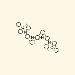 Cc1cccc(N(c2ccc3c4cccc5c6cc7c(cc6n(c3c2)c45)c2cccc3c4ccc(N(c5cccc(C)c5)c5cccc6c5oc5ccccc56)cc4n7c32)c2cccc3c2oc2ccccc23)c1